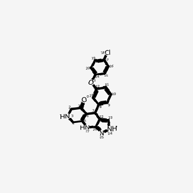 O=C1CNCC2=C1C(c1cccc(Oc3ccc(Cl)cc3)c1)c1c[nH]nc1N2